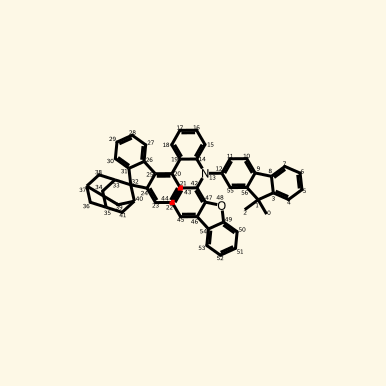 CC1(C)c2ccccc2-c2ccc(N(c3ccccc3-c3cccc4c3-c3ccccc3C43C4CC5CC(C4)CC3C5)c3cccc4c3oc3ccccc34)cc21